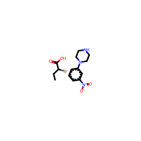 CCC(Br)C(=O)O.O=[N+]([O-])c1cccc(N2CCNCC2)c1